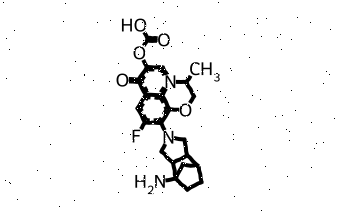 CC1COc2c(N3CC4C5CCC(N)(C5)C4C3)c(F)cc3c(=O)c(OC(=O)O)cn1c23